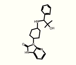 CC(C)(O)C(NC1CCC(n2c(=O)[nH]c3cccnc32)CC1)c1ccccc1